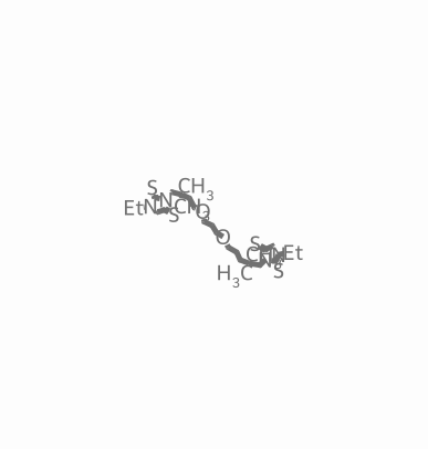 CCN1CC(=S)N(CC(C)(C)CCCOCCCOCCC(C)(C)CN2C(=S)CN(CC)C2=S)C1=S